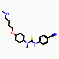 CNCCCCOC1CCC(N(C)C(=S)Nc2ccc(C#N)cc2)CC1